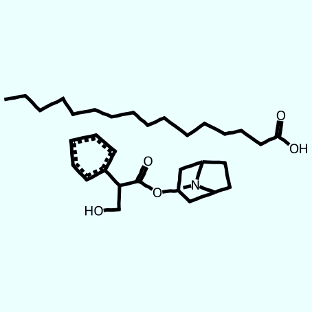 CCCCCCCCCCCCCCCC(=O)O.CN1C2CCC1CC(OC(=O)C(CO)c1ccccc1)C2